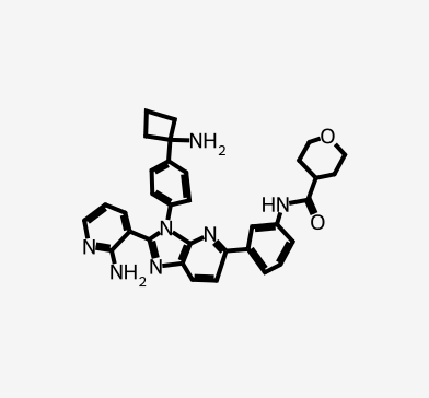 Nc1ncccc1-c1nc2ccc(-c3cccc(NC(=O)C4CCOCC4)c3)nc2n1-c1ccc(C2(N)CCC2)cc1